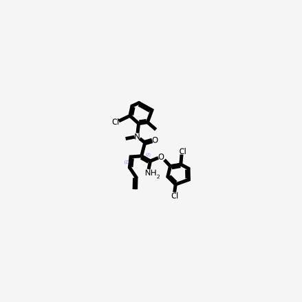 C=C/C=C\C(C(=O)N(C)c1c(C)cccc1Cl)=C(/N)Oc1cc(Cl)ccc1Cl